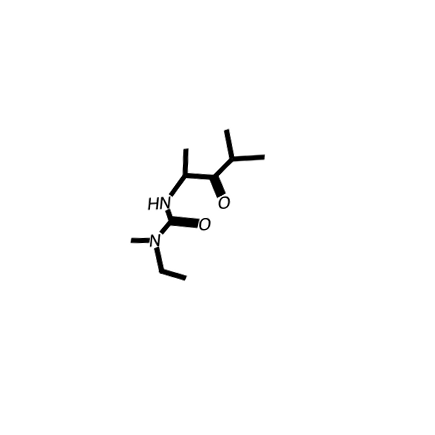 CCN(C)C(=O)NC(C)C(=O)C(C)C